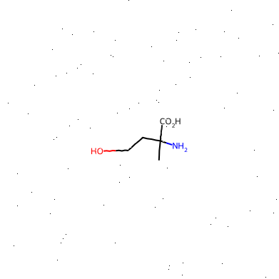 CC(N)(CCO)C(=O)O